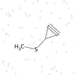 CSC1C#C1